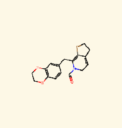 O=CN1CC=C2CCSC2=C1Cc1ccc2c(c1)OCCO2